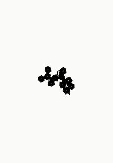 c1ccc(-c2cc(-c3ccccc3)cc(-n3c4ccccc4c4cc(-c5cc(N(c6cccc(-c7ccncc7)c6)c6cccc7c6oc6ccccc67)cc6c5oc5ccccc56)ccc43)c2)cc1